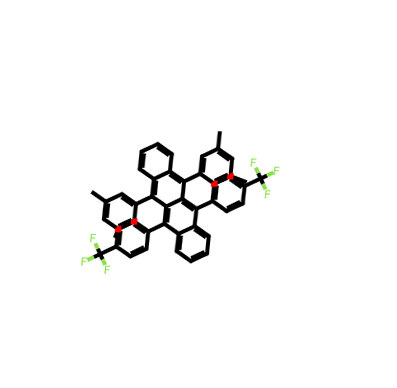 Cc1cc(C)cc(-c2c3ccccc3c(-c3cc(C)cc(C)c3)c3c(-c4ccc(C(F)(F)F)cc4)c4ccccc4c(-c4ccc(C(F)(F)F)cc4)c23)c1